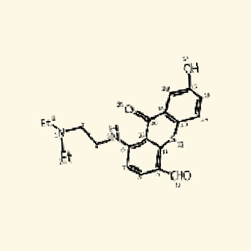 CCN(CC)CCNc1ccc(C=O)c2sc3ccc(O)cc3c(=O)c12